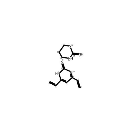 C=Cc1cc(C=C)[nH]c(=S)n1.N=C1NCCCS1